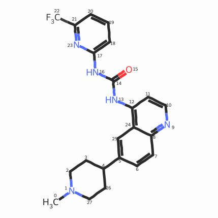 CN1CCC(c2ccc3nccc(NC(=O)Nc4cccc(C(F)(F)F)n4)c3c2)CC1